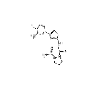 NC(=O)[C@@H]1CCCN1C(=O)CNc1nc(-c2ccc(F)c(C(F)(F)F)c2)cs1